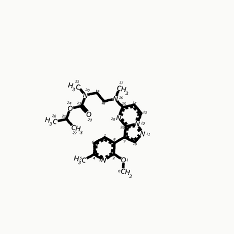 COc1nc(C)ccc1-c1cnn2ccc(N(C)CCN(C)C(=O)OC(C)C)nc12